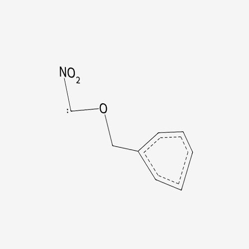 O=[N+]([O-])[C]OCc1ccccc1